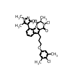 Cc1cc(OCCCc2c3n(c4c(-c5c(C)nn(C)c5C)cccc24)[C@H](C)[C@@H](C)N(Cl)C3=O)cc(C)c1Cl